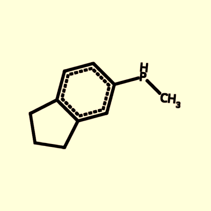 CPc1ccc2c(c1)CCC2